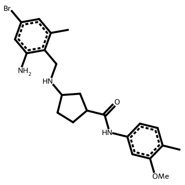 COc1cc(NC(=O)C2CCC(NCc3c(C)cc(Br)cc3N)C2)ccc1C